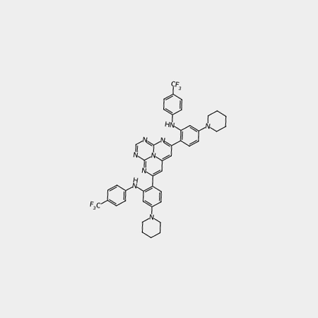 FC(F)(F)c1ccc(Nc2cc(N3CCCCC3)ccc2C2=CC3=CC(c4ccc(N5CCCCC5)cc4Nc4ccc(C(F)(F)F)cc4)=NC4=NC=NC(=N2)N34)cc1